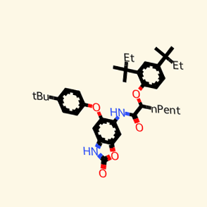 CCCCCC(Oc1ccc(C(C)(C)CC)cc1C(C)(C)CC)C(=O)Nc1cc2oc(=O)[nH]c2cc1Oc1ccc(C(C)(C)C)cc1